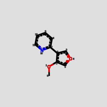 COc1[c]occ1-c1ccccn1